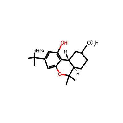 CCCCCCC(C)(C)c1cc(O)c2c(c1)OC(C)(C)[C@@H]1CCC(C(=O)O)C[C@@H]21